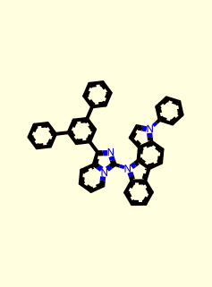 c1ccc(-c2cc(-c3ccccc3)cc(-c3nc(-n4c5ccccc5c5ccc6c(ccn6-c6ccccc6)c54)n4ccccc34)c2)cc1